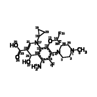 CN1CCN(c2c(F)c(N)c3c(c2OC(F)F)N(C2CC2)C=C(C(=O)O)C3O)CC1